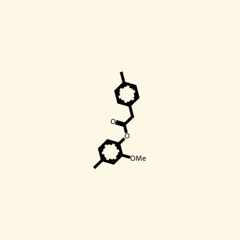 COc1cc(C)ccc1OC(=O)Cc1ccc(C)cc1